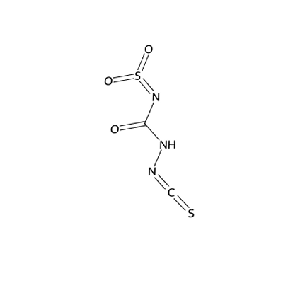 O=C(N=S(=O)=O)NN=C=S